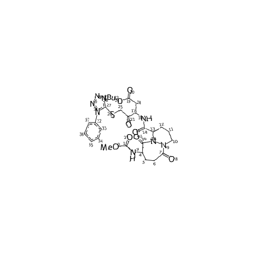 COC(=O)NC1CCC(=O)N2CCCC(C(=O)NC(CC(=O)OC(C)(C)C)C(=O)CSc3nnnn3-c3ccccc3)N2C1=O